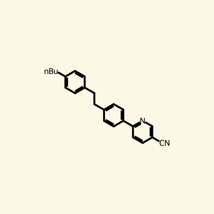 CCCCc1ccc(CCc2ccc(-c3ccc(C#N)cn3)cc2)cc1